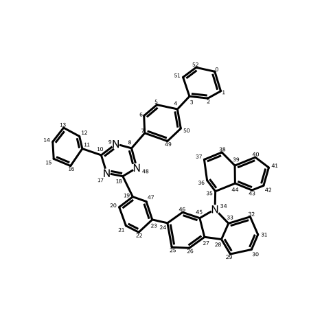 c1ccc(-c2ccc(-c3nc(-c4ccccc4)nc(-c4cccc(-c5ccc6c7ccccc7n(-c7cccc8ccccc78)c6c5)c4)n3)cc2)cc1